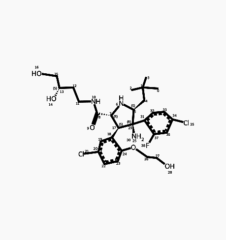 CC(C)(C)C[C@@H]1N[C@@H](C(=O)NCC[C@H](O)CO)[C@H](c2cc(Cl)ccc2OCCO)[C@@]1(N)c1ccc(Cl)cc1F